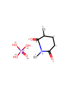 CCC1CCC(=O)N(CC)C1=O.O=P(O)(O)O